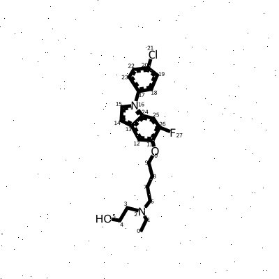 CCN(CCO)CCCCOc1cc2ccn(-c3ccc(Cl)cc3)c2cc1F